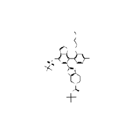 COCCOc1cc(F)ccc1-c1c(-c2nc3c(s2)CN(C(=O)OC(C)(C)C)CC3)nc(OS(=O)(=O)C(F)(F)F)c2ccsc12